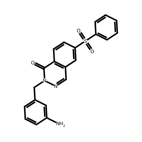 Nc1cccc(Cn2ncc3cc(S(=O)(=O)c4ccccc4)ccc3c2=O)c1